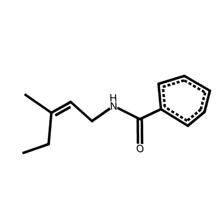 CCC(C)=CCNC(=O)c1ccccc1